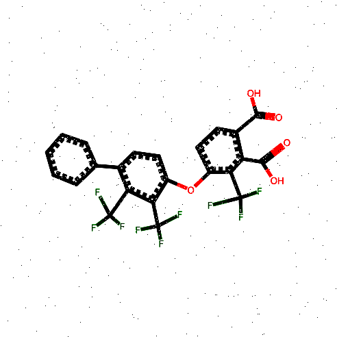 O=C(O)c1ccc(Oc2ccc(-c3ccccc3)c(C(F)(F)F)c2C(F)(F)F)c(C(F)(F)F)c1C(=O)O